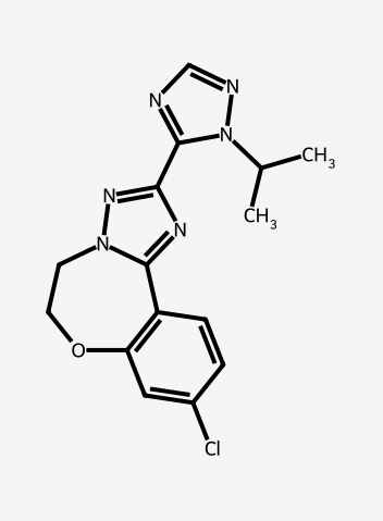 CC(C)n1ncnc1-c1nc2n(n1)CCOc1cc(Cl)ccc1-2